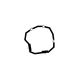 [C]1=C/C/C=C/CCCCCCCCC/1